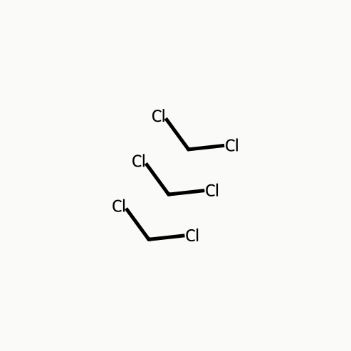 ClCCl.ClCCl.ClCCl